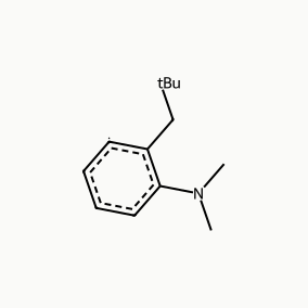 CN(C)c1ccc[c]c1CC(C)(C)C